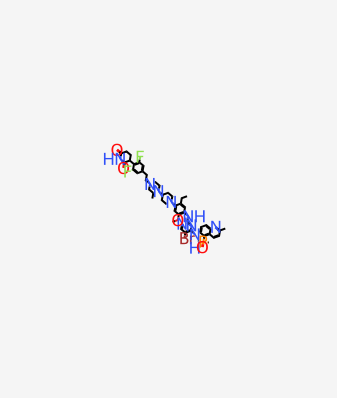 CCc1cc(Nc2ncc(Br)c(Nc3ccc4nc(C)ccc4c3P(C)(C)=O)n2)c(OC)cc1N1CCC(N2CCN(CCc3cc(F)c(C4CCC(=O)NC4=O)c(F)c3)CC2C)CC1